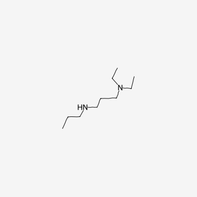 CCCNCCCN(CC)CC